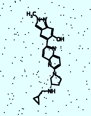 Cn1cc2cc(-c3ccc4nc(N5CC[C@H](NCC6CC6)C5)ccc4n3)c(O)cc2n1